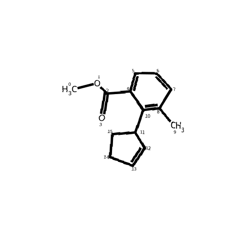 COC(=O)c1cccc(C)c1C1C=CCC1